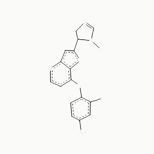 CN1C=NCC1c1cc2nccc(Oc3ccc(N)cc3F)c2s1